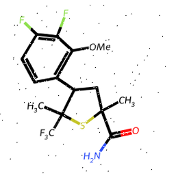 COc1c(C2CC(C)(C(N)=O)SC2(C)C(F)(F)F)ccc(F)c1F